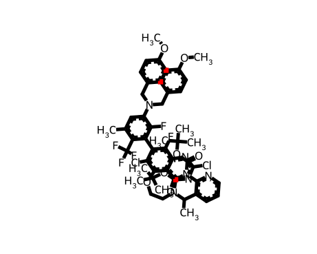 COc1ccc(CN(Cc2ccc(OC)cc2)c2cc(C)c(C(F)(F)F)c(-c3c(Cl)c4c5c(nc(Cl)nc5c3F)N(C(C)c3cccnc3N(C(=O)OC(C)(C)C)C(=O)OC(C)(C)C)CCO4)c2F)cc1